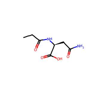 CCC(=O)N[C@@H](CC(N)=O)C(=O)O